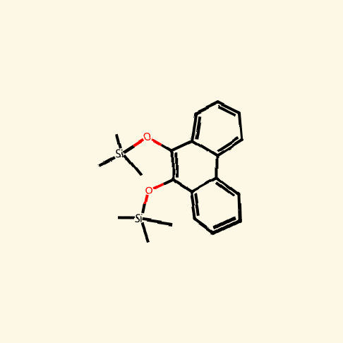 C[Si](C)(C)Oc1c(O[Si](C)(C)C)c2ccccc2c2ccccc12